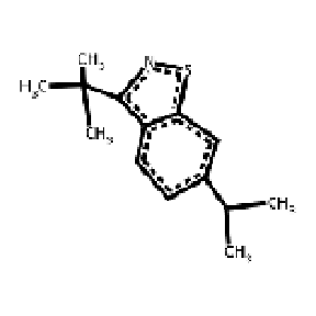 CC(C)c1ccc2c(C(C)(C)C)nsc2c1